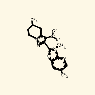 CC[S+]([O-])c1c(-c2nc3cc(C(F)(F)F)cnc3n2C)nn2c1CC(C(F)(F)F)CC2